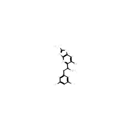 Cc1nc2nc(C(N)Cc3cc(F)cc(F)c3)c(Br)cc2s1